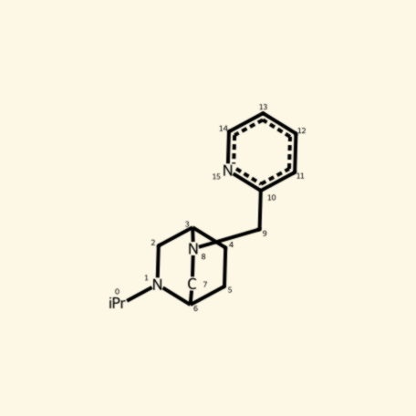 CC(C)N1CC2CCC1CN2Cc1ccccn1